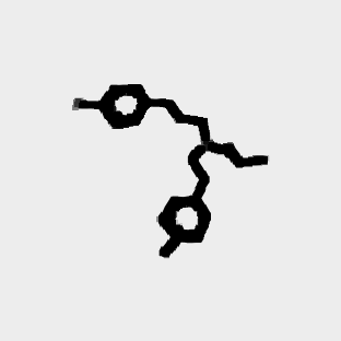 CCCN(CCCc1ccc(F)cc1)CCc1ccc(C)cc1